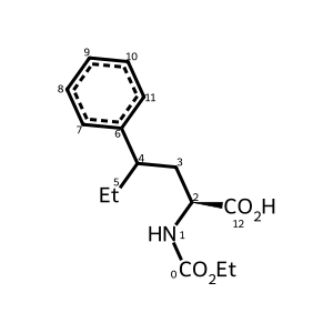 CCOC(=O)N[C@@H](CC(CC)c1ccccc1)C(=O)O